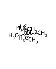 CCCCCCc1nc(C(C)(CC)CC)nc(CCCCCC)c1C(C)CC